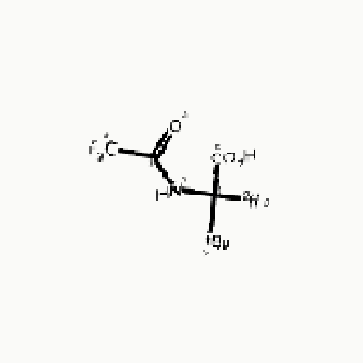 [2H]C(NC(=O)C(F)(F)F)(C(=O)O)C(C)(C)C